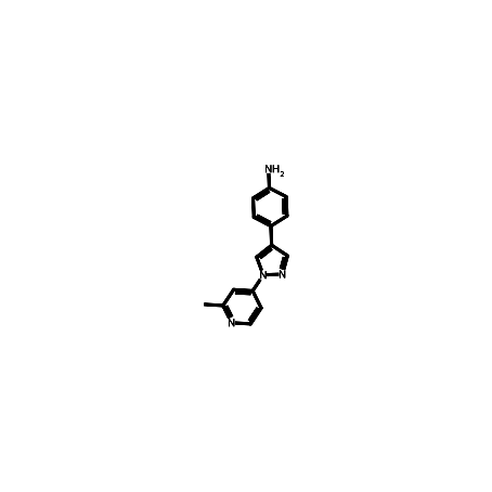 Cc1cc(-n2cc(-c3ccc(N)cc3)cn2)ccn1